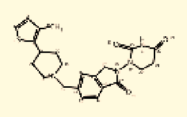 Cc1ccsc1C1CCN(Cc2ccc3c(c2)CN(N2CCC(=O)NC2=O)C3=O)CC1